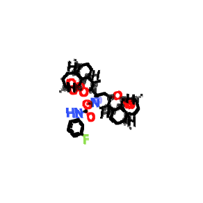 C[C@H]1[C@@H](/C(C[C@H]2O[C@@H]3O[C@]4(C)CC[C@H]5[C@H](C)CC[C@@H]([C@H]2C)[C@@]35OO4)=N\OC(=O)Nc2cccc(F)c2)O[C@@H]2O[C@]3(C)CC[C@H]4[C@H](C)CC[C@@H]1[C@@]24OO3